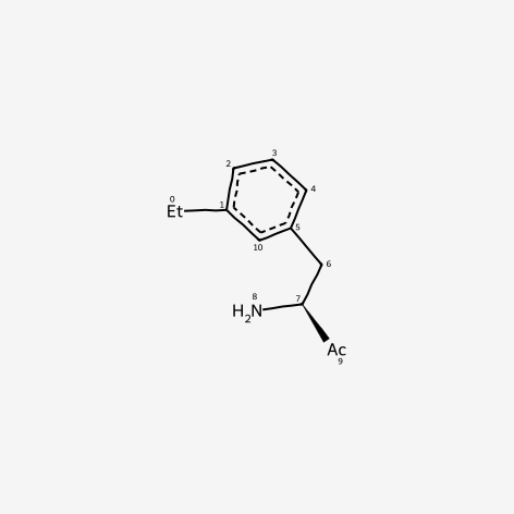 CCc1cccc(C[C@H](N)C(C)=O)c1